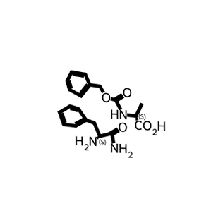 C[C@H](NC(=O)OCc1ccccc1)C(=O)O.NC(=O)[C@@H](N)Cc1ccccc1